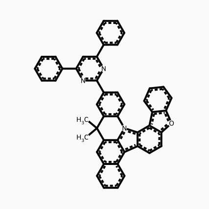 CC1(C)c2cc(-c3nc(-c4ccccc4)cc(-c4ccccc4)n3)ccc2-n2c3c1cc1ccccc1c3c1ccc3oc4ccccc4c3c12